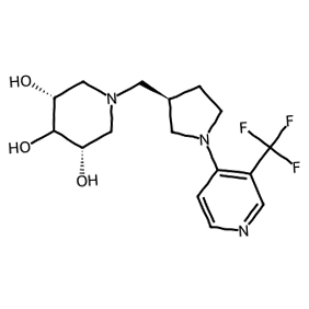 OC1[C@H](O)CN(C[C@H]2CCN(c3ccncc3C(F)(F)F)C2)C[C@@H]1O